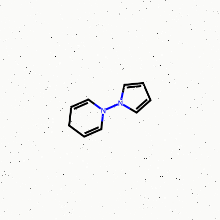 C1=CN(n2cccc2)C=CC1